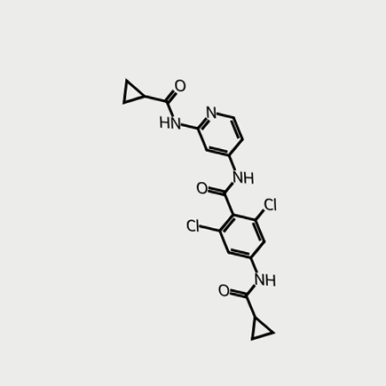 O=C(Nc1ccnc(NC(=O)C2CC2)c1)c1c(Cl)cc(NC(=O)C2CC2)cc1Cl